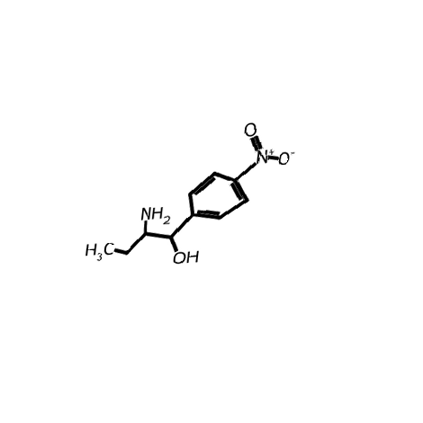 CCC(N)C(O)c1ccc([N+](=O)[O-])cc1